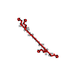 CC(C=CC1=C(C)CCCC1(C)C)=CC=CC(C)=CC(=O)NCCCC[C@@H](NC(=O)C=C(C)C=CC=C(C)C=CC1=C(C)CCCC1(C)C)C(=O)NCCOCCOCCNC(=O)CCOCCOCCOCCOCCC(=O)NCCOCCOCCNC(=O)[C@@H](CCCCNC(=O)C=C(C)C=CC=C(C)C=CC1=C(C)CCCC1(C)C)NC(=O)C=C(C)C=CC=C(C)C=CC1=C(C)CCCC1(C)C